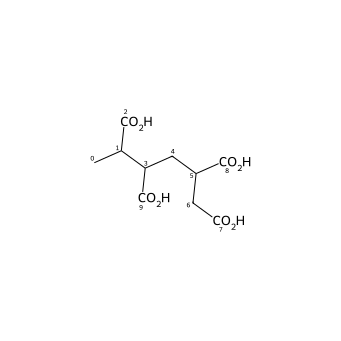 CC(C(=O)O)C(CC(CC(=O)O)C(=O)O)C(=O)O